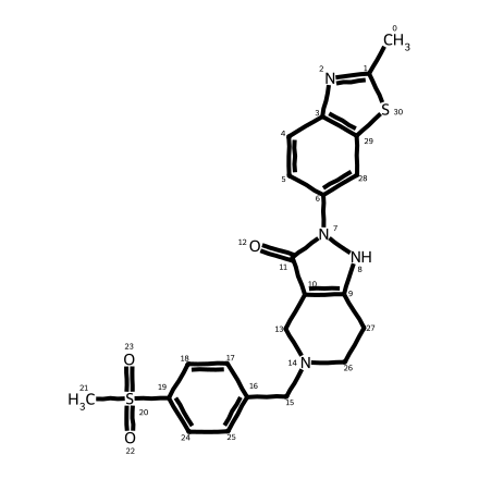 Cc1nc2ccc(-n3[nH]c4c(c3=O)CN(Cc3ccc(S(C)(=O)=O)cc3)CC4)cc2s1